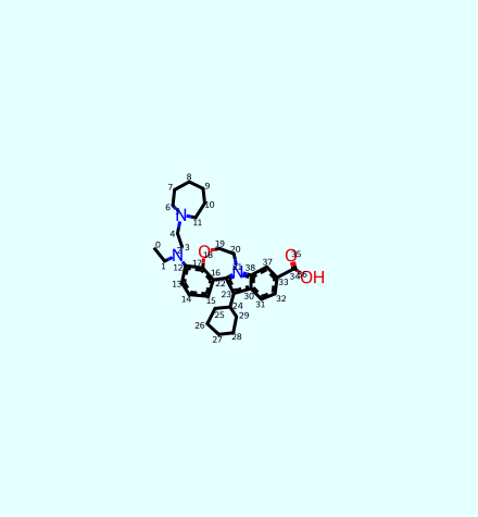 CCN(CCN1CCCCCC1)c1cccc2c1OCCn1c-2c(C2CCCCC2)c2ccc(C(=O)O)cc21